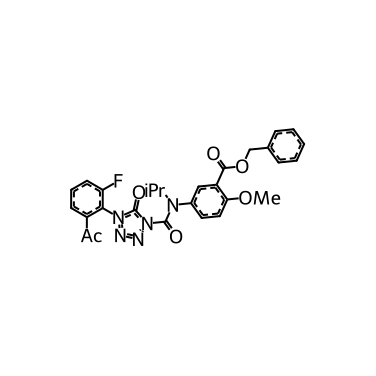 COc1ccc(N(C(=O)n2nnn(-c3c(F)cccc3C(C)=O)c2=O)C(C)C)cc1C(=O)OCc1ccccc1